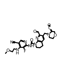 COCCNc1c(C#N)cnc(NC(=O)N2CCCc3cc(CN4CCOCC4=C=O)c(C=O)nc32)c1F